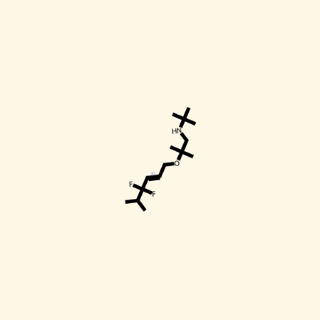 CC(C)C(F)(F)/C=C/COC(C)(C)CNC(C)(C)C